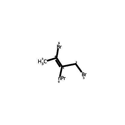 CCC/C(CBr)=C(\C)Br